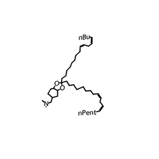 CCCC/C=C\C/C=C\CCCCCCCCC1(CCCCCCCC/C=C\C/C=C\CCCCC)OC2CCC(CN(C)C)CC2O1